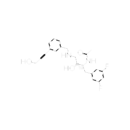 CC(=O)N[C@@H](Cc1cc(F)cc(F)c1)[C@H](O)CNCc1cccc(C#CCO)c1